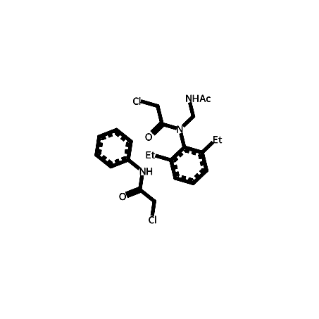 CCc1cccc(CC)c1N(CNC(C)=O)C(=O)CCl.O=C(CCl)Nc1ccccc1